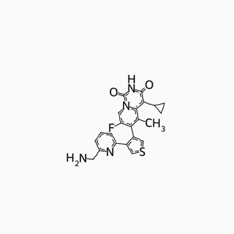 Cc1c(-c2cscc2-c2cccc(CN)n2)c(F)cn2c(=O)[nH]c(=O)c(C3CC3)c12